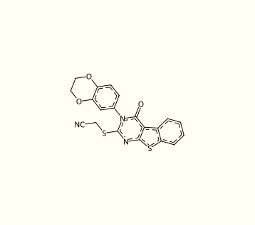 N#CCSc1nc2sc3ccccc3c2c(=O)n1-c1ccc2c(c1)OCCO2